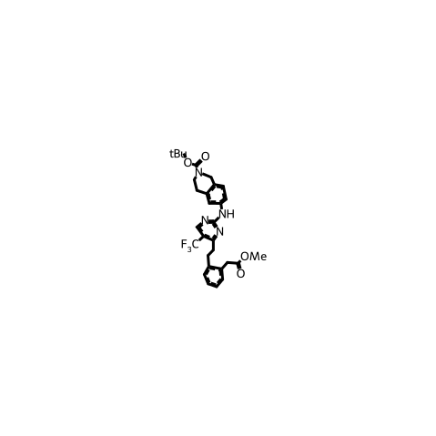 COC(=O)Cc1ccccc1CCc1nc(Nc2ccc3c(c2)CCN(C(=O)OC(C)(C)C)C3)ncc1C(F)(F)F